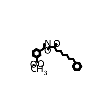 COC(=O)c1cccc(-c2cnc(C(=O)CCCCCCc3ccccc3)o2)c1